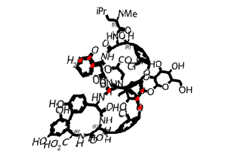 CN[C@H](CC(C)C)C(=O)NC1C(=O)NC(CC(N)=O)C(=O)N[C@H]2C(=O)NC3C(=O)N[C@H](C(=O)N[C@@H](C(=O)O)c4cc(O)cc(O)c4-c4cc3ccc4O)[C@H](O)c3ccc(c(Cl)c3)Oc3cc2cc(c3OC2OC(CO)C(O)C(O)C2OC2CC(C)(NCC(OCc3ccccc3)C(=O)O)C(O)C(C)O2)Oc2ccc(cc2Cl)[C@H]1O